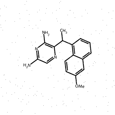 COc1ccc2c(C(C)c3ncc(N)nc3N)cccc2c1